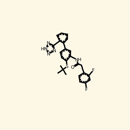 CC(C)(C)Sc1ccc(-c2ccccc2-c2nn[nH]n2)cc1NC(=O)Cc1ccc(F)cc1F